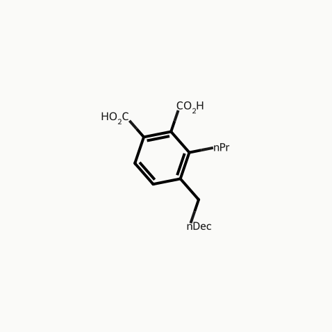 CCCCCCCCCCCc1ccc(C(=O)O)c(C(=O)O)c1CCC